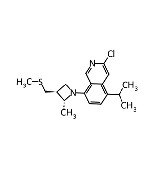 CSC[C@H]1CN(c2ccc(C(C)C)c3cc(Cl)ncc23)[C@@H]1C